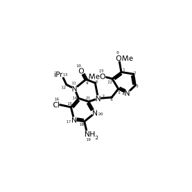 COc1ccnc(CN2CC(=O)N(CC(C)C)c3c(Cl)nc(N)nc32)c1OC